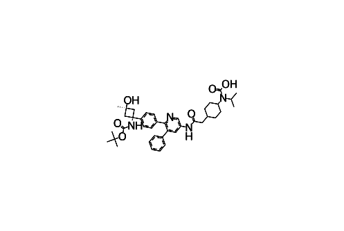 CC(C)N(C(=O)O)C1CCC(CC(=O)Nc2cnc(-c3ccc([C@]4(NC(=O)OC(C)(C)C)C[C@](C)(O)C4)cc3)c(-c3ccccc3)c2)CC1